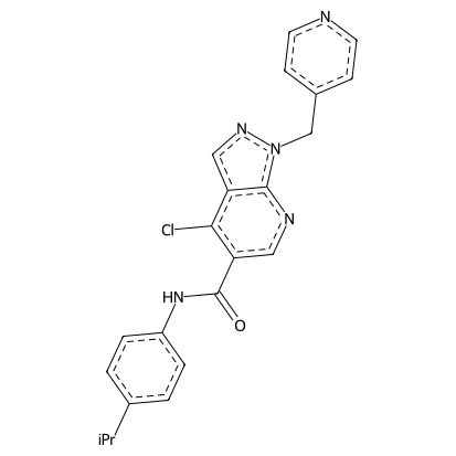 CC(C)c1ccc(NC(=O)c2cnc3c(cnn3Cc3ccncc3)c2Cl)cc1